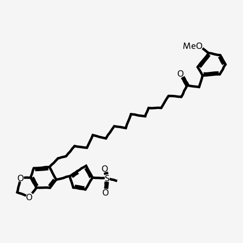 COc1cccc(CC(=O)CCCCCCCCCCCCCCc2cc3c(cc2-c2ccc(S(C)(=O)=O)cc2)OCO3)c1